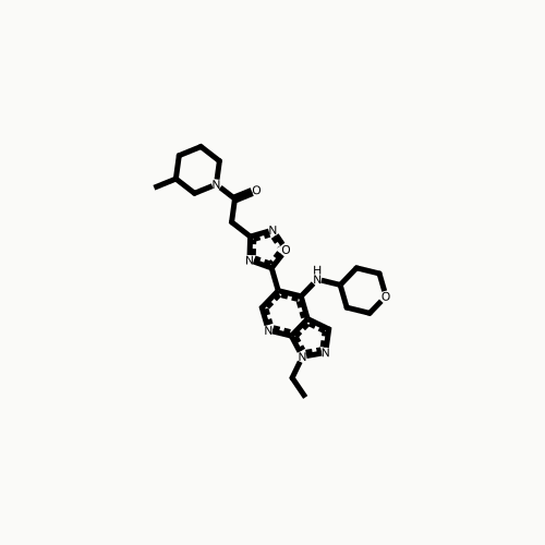 CCn1ncc2c(NC3CCOCC3)c(-c3nc(CC(=O)N4CCCC(C)C4)no3)cnc21